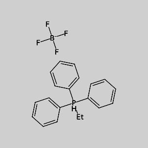 CC[PH](c1ccccc1)(c1ccccc1)c1ccccc1.F[B-](F)(F)F